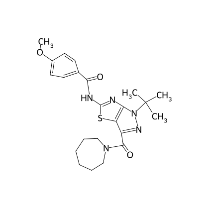 COc1ccc(C(=O)Nc2nc3c(s2)c(C(=O)N2CCCCCC2)nn3C(C)(C)C)cc1